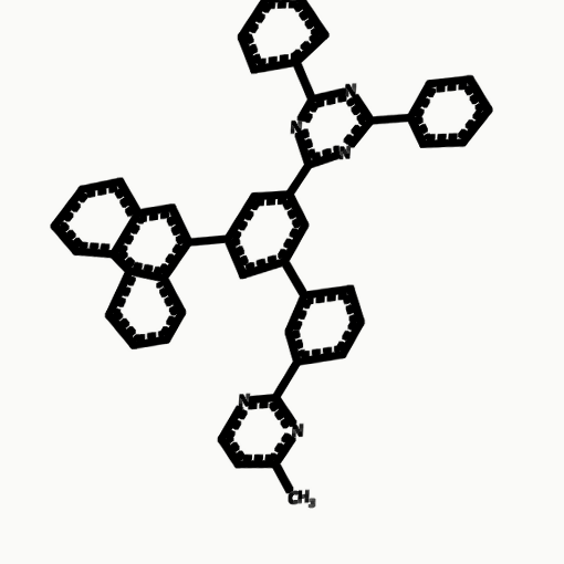 Cc1ccnc(-c2cccc(-c3cc(-c4nc(-c5ccccc5)nc(-c5ccccc5)n4)cc(-c4cc5ccccc5c5ccccc45)c3)c2)n1